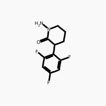 NN1CCCC(c2c(F)cc(F)cc2F)C1=O